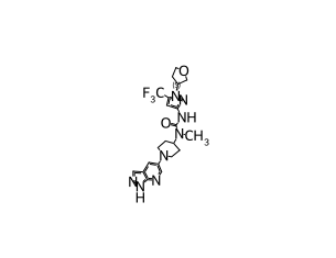 CN(C(=O)Nc1cc(C(F)(F)F)n([C@H]2CCOC2)n1)C1CCN(c2cnc3[nH]ncc3c2)CC1